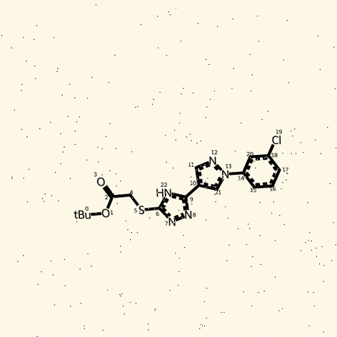 CC(C)(C)OC(=O)CSc1nnc(-c2cnn(-c3cccc(Cl)c3)c2)[nH]1